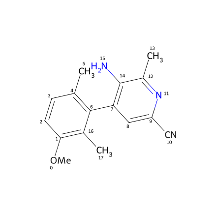 COc1ccc(C)c(-c2cc(C#N)nc(C)c2N)c1C